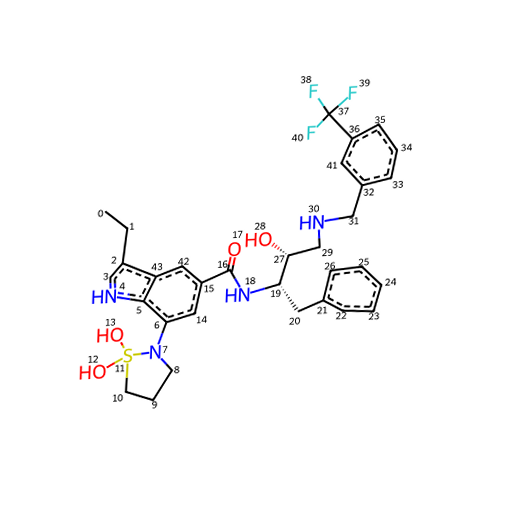 CCc1c[nH]c2c(N3CCCS3(O)O)cc(C(=O)N[C@@H](Cc3ccccc3)[C@H](O)CNCc3cccc(C(F)(F)F)c3)cc12